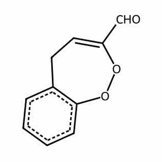 O=CC1=CCc2ccccc2OO1